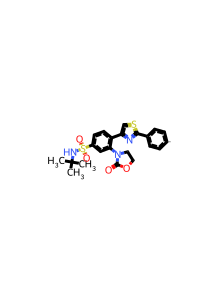 CC(C)(C)NS(=O)(=O)c1ccc(-c2csc(-c3cc[c]cc3)n2)c(N2CCOC2=O)c1